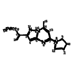 CCCCCC(C)c1cc2nc(N3CCCC3)cc(C)n2n1